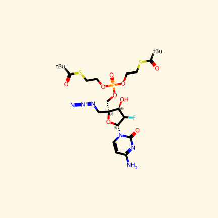 CC(C)(C)C(=O)SCCOP(=O)(OCCSC(=O)C(C)(C)C)OC[C@@]1(CN=[N+]=[N-])O[C@@H](n2ccc(N)nc2=O)C(F)[C@@H]1O